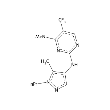 CCCn1ncc(Nc2ncc(C(F)(F)F)c(NC)n2)c1C